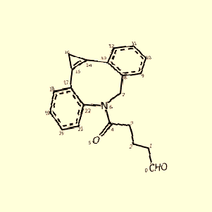 O=CCCCC(=O)N1Cc2ccccc2C2=C(C2)c2ccccc21